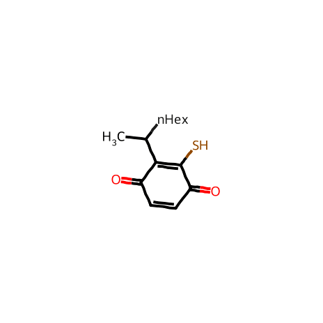 CCCCCCC(C)C1=C(S)C(=O)C=CC1=O